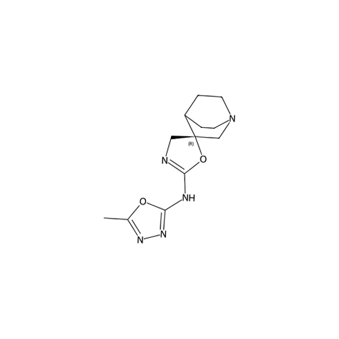 Cc1nnc(NC2=NC[C@@]3(CN4CCC3CC4)O2)o1